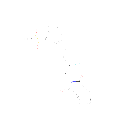 CS(=O)(=O)c1cccc(C/C=C(\F)CN2C(=O)c3ccccc3C2=O)c1